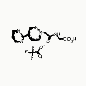 O=C(O)CNC(=O)C[n+]1ccc(-c2ncccn2)cn1.O=C([O-])C(F)(F)F